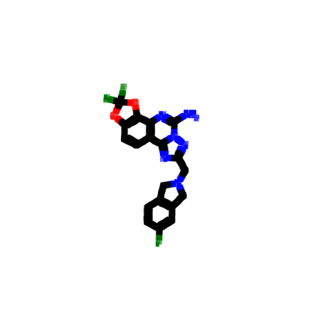 Nc1nc2c3c(ccc2c2nc(CN4Cc5ccc(F)cc5C4)nn12)OC(F)(F)O3